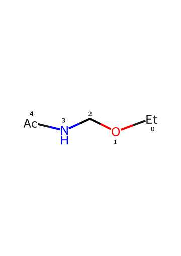 CCOCNC(C)=O